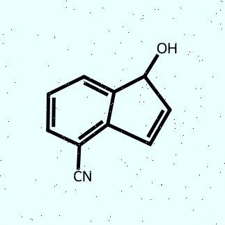 N#Cc1cccc2c1C=CC2O